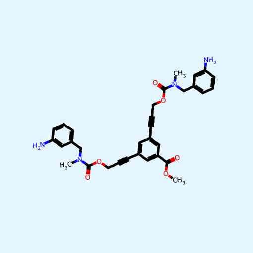 COC(=O)c1cc(C#CCOC(=O)N(C)Cc2cccc(N)c2)cc(C#CCOC(=O)N(C)Cc2cccc(N)c2)c1